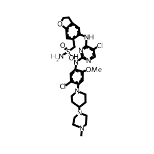 COc1cc(N2CCC(N3CCN(C)CC3)CC2)c(Cl)cc1Nc1ncc(Cl)c(Nc2cc3c(cc2CS(N)(=O)=O)OCC3)n1